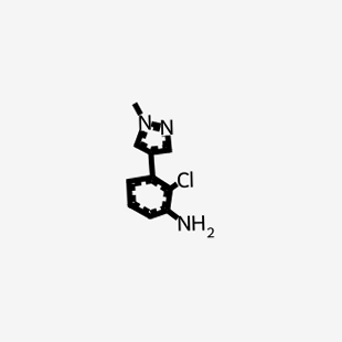 Cn1cc(-c2cccc(N)c2Cl)cn1